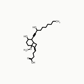 CCCCCCCC(O)C#CC1C(O)CCC2(OC)C(=CCCC(=O)O)CC12